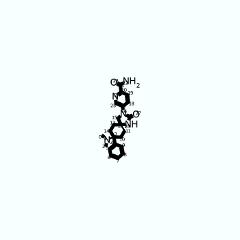 CN(C)[C@]1(c2ccccc2)CC[C@@]2(CC1)CN(c1ccc(C(N)=O)nc1)C(=O)N2